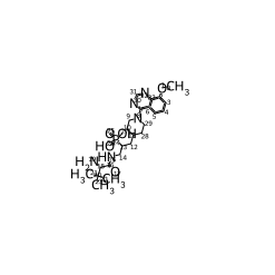 COc1cccc2c(N3CCC(CC(CNC(=O)[C@@H](N)C(C)(C)C)P(=O)(O)O)CC3)ncnc12